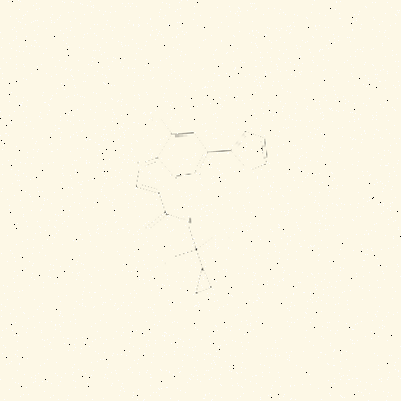 C=C(NC(C)(C)C1CC1)c1cnc2c(C)cc(-c3ccns3)nn12